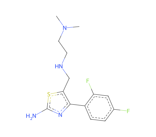 CN(C)CCNCc1sc(N)nc1-c1ccc(F)cc1F